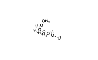 O.O.O.O.O.OCl